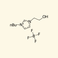 CCCC[n+]1ccn(CCO)c1.F[B-](F)(F)F